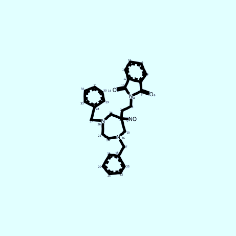 O=NC1(CCN2C(=O)c3ccccc3C2=O)CN(Cc2ccccc2)CCN(Cc2ccccc2)C1